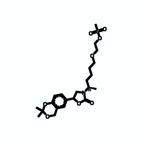 C[C@H](CCCCOCCOS(C)(=O)=O)N1CC(c2ccc3c(c2)COC(C)(C)O3)OC1=O